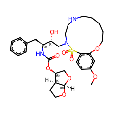 COc1ccc2c(c1)OCCCCCNCCN(C[C@@H](O)[C@H](Cc1ccccc1)NC(=O)O[C@H]1CO[C@H]3OCC[C@H]31)S2(=O)=O